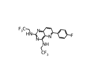 Fc1ccc(-c2ccc3nc(NCC(F)(F)F)nc(NCC(F)(F)F)c3n2)cc1